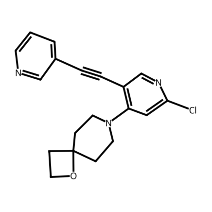 Clc1cc(N2CCC3(CCO3)CC2)c(C#Cc2cccnc2)cn1